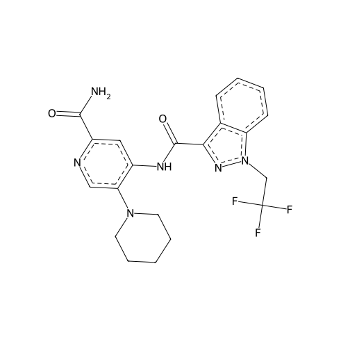 NC(=O)c1cc(NC(=O)c2nn(CC(F)(F)F)c3ccccc23)c(N2CCCCC2)cn1